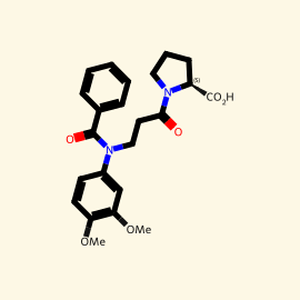 COc1ccc(N(CCC(=O)N2CCC[C@H]2C(=O)O)C(=O)c2ccccc2)cc1OC